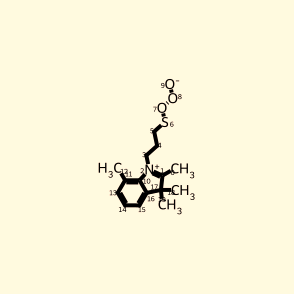 CC1=[N+](CCCSOO[O-])c2c(C)cccc2C1(C)C